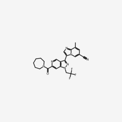 Cc1cc(C#N)cn2c(-c3nn(CC(F)(F)F)c4cc(C(=O)N5CCCCCC5)ncc34)cnc12